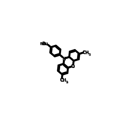 CCCCc1ccc(N2c3ccc(C)cc3OC3C=C(C)C=CC32)cc1